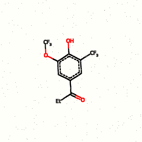 CCC(=O)c1cc(OC(F)(F)F)c(O)c(C(F)(F)F)c1